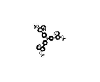 CC(C)OC1CC=C(c2ccc(N(c3ccc(C4=CCC(OC(C)C)c5cccnc54)cc3)c3ccc(C4=CCC(OC(C)C)c5cccnc54)cc3)cc2)c2ncccc21